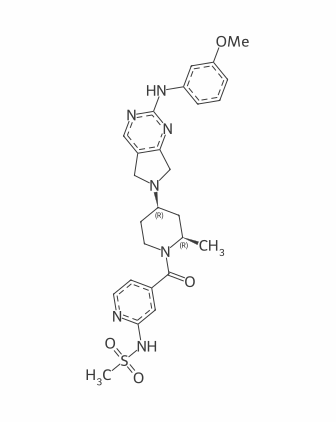 COc1cccc(Nc2ncc3c(n2)CN([C@@H]2CCN(C(=O)c4ccnc(NS(C)(=O)=O)c4)[C@H](C)C2)C3)c1